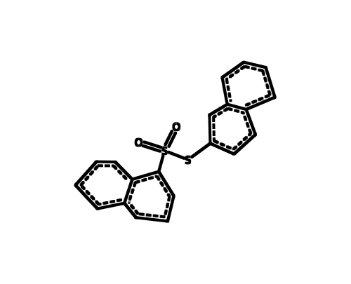 O=S(=O)(Sc1ccc2ccccc2c1)c1cccc2ccccc12